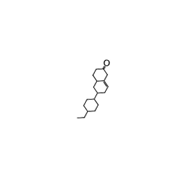 CCC1CCC(C2CC=C3CC(=O)CCC3C2)CC1